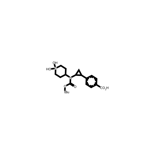 CC(C)(C)OC(=O)N(C1CCS(O)(O)CC1)C1CC1c1ccc(C(=O)O)cc1